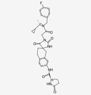 C[C@@H](C1CC1)N(Cc1ccc(F)cc1)C(=O)CN1C(=O)NC2(CCc3ccc(NC(=O)[C@H]4CCC(=O)N4)cc3C2)C1=O